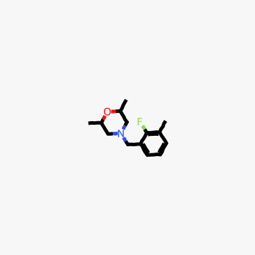 Cc1cccc(CN2CC(C)OC(C)C2)c1F